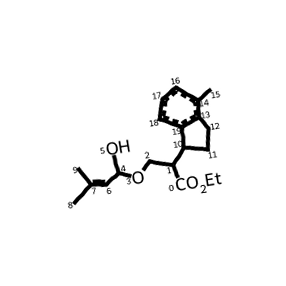 CCOC(=O)C(COC(O)C=C(C)C)C1CCc2c(C)cccc21